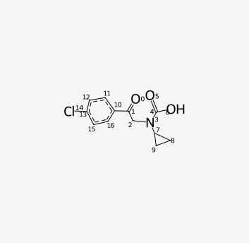 O=C(CN(C(=O)O)C1CC1)c1ccc(Cl)cc1